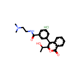 CC(O)c1oc(=O)c2ccccc2c1-c1cccc(C(=O)NCCN(C)C)c1.Cl